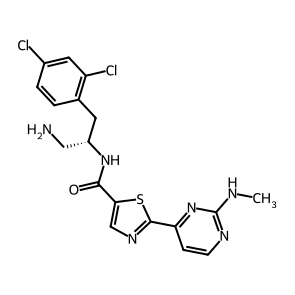 CNc1nccc(-c2ncc(C(=O)N[C@H](CN)Cc3ccc(Cl)cc3Cl)s2)n1